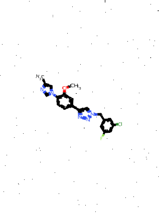 COc1cc(-c2cn(Cc3cc(F)cc(Cl)c3)nn2)ccc1-n1cnc(C)c1